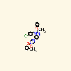 Cc1ccccc1S(=O)(=O)N1CCN(c2ccc3nc(C(C)Oc4ccccc4)n(Cc4ccc(Cl)cc4)c3c2)CC1